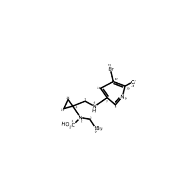 CC(C)(C)CN(C(=O)O)C1(CNc2cnc(Cl)c(Br)c2)CC1